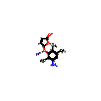 Cc1cc(N)c(C)c(OC2C=CC(=O)O2)c1C.I